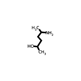 CC(N)CCC(C)O